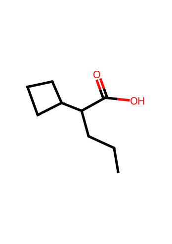 CCCC([C]1CCC1)C(=O)O